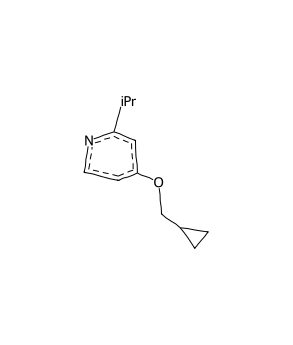 CC(C)c1cc(OCC2CC2)ccn1